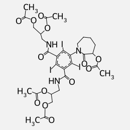 CC(=O)OCC(CNC(=O)c1c(I)c(C(=O)NCC(COC(C)=O)OC(C)=O)c(I)c(N2CCCCC(OC(C)=O)C2=O)c1I)OC(C)=O